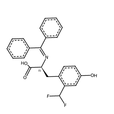 O=C(O)[C@H](Cc1ccc(O)cc1C(F)F)N=C(c1ccccc1)c1ccccc1